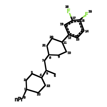 CCCC1CCC(C(C)CC2CCC(c3ccc(F)c(F)c3)CC2)CC1